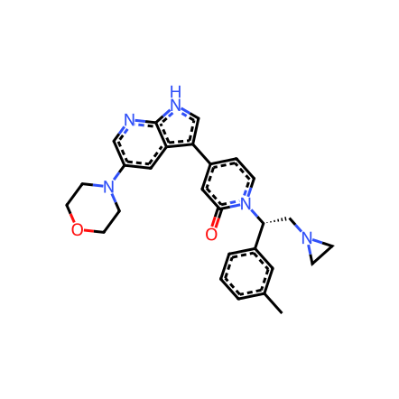 Cc1cccc([C@@H](CN2CC2)n2ccc(-c3c[nH]c4ncc(N5CCOCC5)cc34)cc2=O)c1